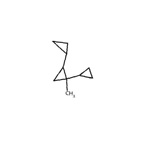 CC1(C2CC2)CC1C1CC1